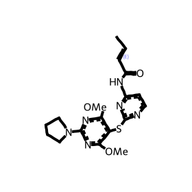 C/C=C/C(=O)Nc1ccnc(Sc2c(OC)nc(N3CCCC3)nc2OC)n1